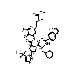 CC(C)(O)c1cnnn1[C@H]1C[C@@H](C(=O)NC(CCCCNC(=O)O)C(=O)C(N)=O)N(C(=O)[C@@H](CC2CCCCC2)NC(=O)c2ccc3cc[nH]c3c2)C1